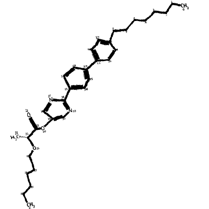 CCCCCCCCc1ccc(-c2ccc(-c3ncc(OC(=O)[C@@H](C)OCCCCCC)cn3)cc2)cc1